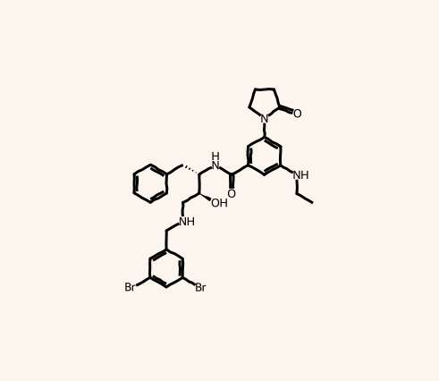 CCNc1cc(C(=O)N[C@@H](Cc2ccccc2)[C@@H](O)CNCc2cc(Br)cc(Br)c2)cc(N2CCCC2=O)c1